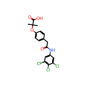 CC(C)(Oc1ccc(CC(=O)Nc2cc(Cl)c(Cl)c(Cl)c2)cc1)C(=O)O